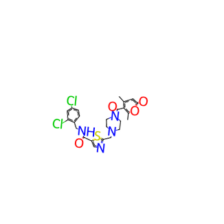 Cc1cc(=O)oc(C)c1C(=O)N1CCN(Cc2ncc(C(=O)NCc3ccc(Cl)cc3Cl)s2)CC1